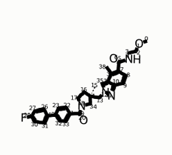 COCCNC(=O)c1ccc2nn(C[C@]3(C)CCN(C(=O)c4ccc(-c5ccc(F)cc5)cc4)C3)cc2c1C